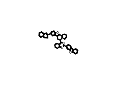 C1=CC2=C(CC1)c1oc3ccc(-c4ccc5ccccc5c4)cc3c1CC2c1nc(-c2ccc3c(c2)oc2ccccc23)nc2c1C=CCC2